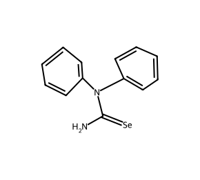 NC(=[Se])N(c1ccccc1)c1ccccc1